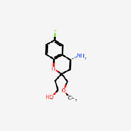 COCC1(CCO)C[C@@H](N)c2cc(F)ccc2O1